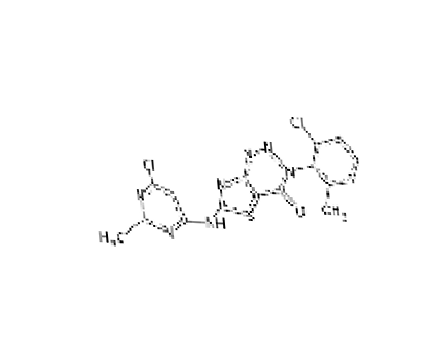 Cc1nc(Cl)cc(Nc2nc3nnn(-c4c(C)cccc4Cl)c(=O)c3s2)n1